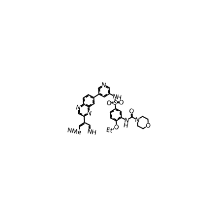 CCOc1ccc(S(=O)(=O)Nc2cncc(-c3ccc4ncc(/C(C=N)=C/NC)nc4c3)c2)cc1NC(=O)N1CCOCC1